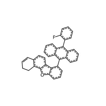 Fc1ccccc1-c1c2ccccc2c(-c2cccc3oc4c5c(ccc4c23)C=CCC5)c2ccccc12